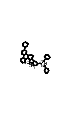 CC1(C)c2ccc(-c3nc(-c4ccccc4)nc(-c4ccccc4)n3)cc2-c2ccc3c4cc(-c5ccccc5)ccc4c4ccccc4c3c21